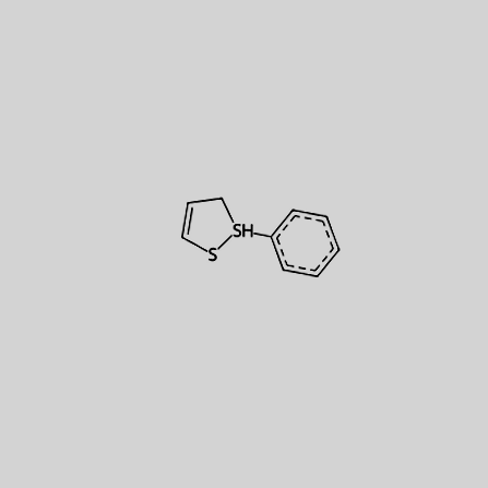 C1=CS[SH](c2ccccc2)C1